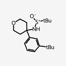 CC(C)(C)c1cccc(C2(N[S+]([O-])C(C)(C)C)CCOCC2)c1